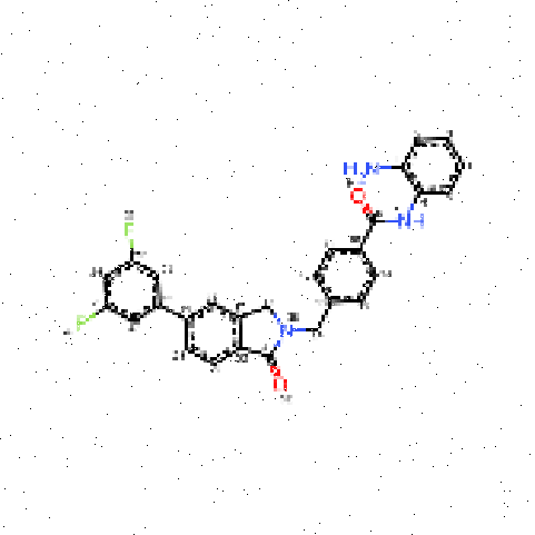 Nc1ccccc1NC(=O)c1ccc(CN2Cc3cc(-c4cc(F)cc(F)c4)ccc3C2=O)cc1